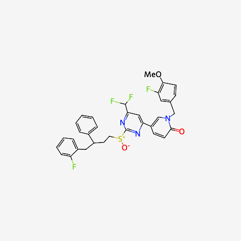 COc1ccc(Cn2cc(-c3cc(C(F)F)nc([S+]([O-])CCC(Cc4ccccc4F)c4ccccc4)n3)ccc2=O)cc1F